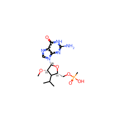 CO[C@H]1C(C(C)C)[C@@H](COP(C)(=O)O)O[C@H]1n1cnc2c(=O)[nH]c(N)nc21